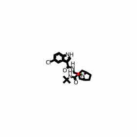 CC(C)(C)NC(=O)CN1C2CCC1CC(CNC(=O)c1c[nH]c3ccc(Cl)cc13)C2